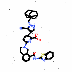 N#Cc1c(-c2ccc(N3CCc4cccc(C(=O)Nc5nc6ccccc6s5)c4C3)nc2C(=O)O)cnn1CC12CC3CC(CC(C3)C1)C2